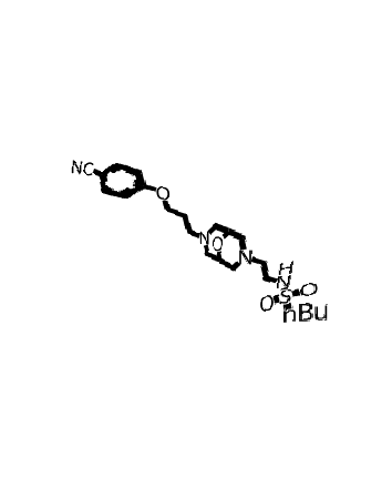 CCCCS(=O)(=O)NCCN1CC2CN(CCCOc3ccc(C#N)cc3)CC(C1)O2